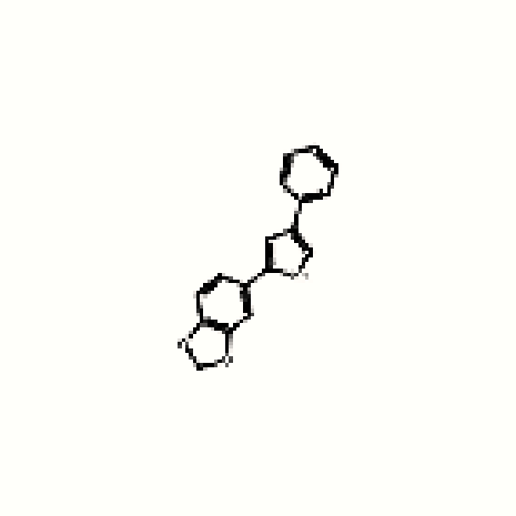 c1ccc(-c2c[nH]c(-c3ccc4c(c3)OCO4)c2)cc1